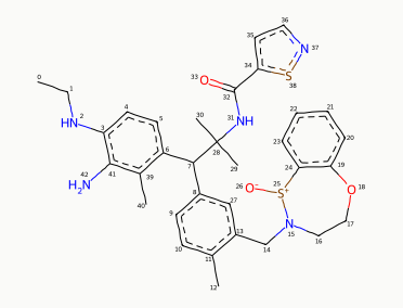 CCNc1ccc(C(c2ccc(C)c(CN3CCOc4ccccc4[S+]3[O-])c2)C(C)(C)NC(=O)c2ccns2)c(C)c1N